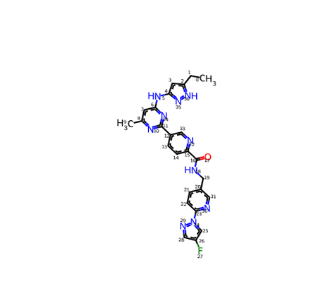 CCc1cc(Nc2cc(C)nc(-c3ccc(C(=O)NCc4ccc(-n5cc(F)cn5)nc4)nc3)n2)n[nH]1